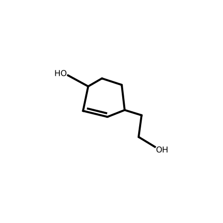 OCCC1C=CC(O)CC1